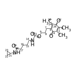 CC1=C(C)C(=O)C(CCCOC(=O)NCCCCC(=O)NC2CC2)=C(C)C1=O